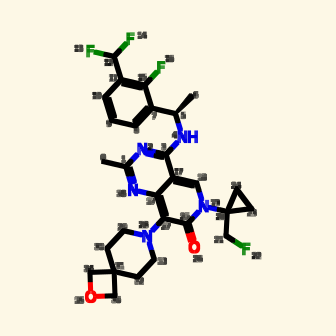 Cc1nc(N[C@H](C)c2cccc(C(F)F)c2F)c2cn(C3(CF)CC3)c(=O)c(N3CCC4(CC3)COC4)c2n1